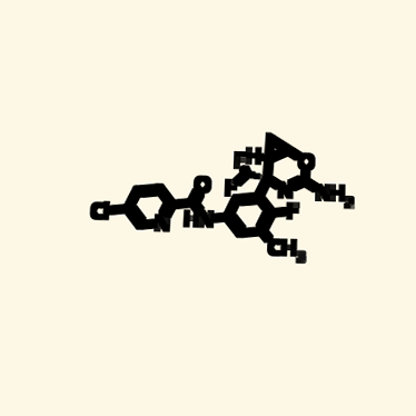 Cc1cc(NC(=O)c2ccc(Cl)cn2)cc([C@]2(C(F)F)N=C(N)OC3C[C@H]32)c1F